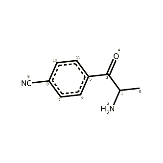 CC(N)C(=O)c1ccc(C#N)cc1